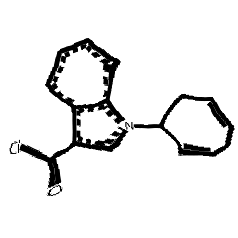 O=C(Cl)c1cn(C2C=CC=CC2)c2ccccc12